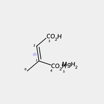 C/C(=C/C(=O)O)C(=O)O.[MgH2]